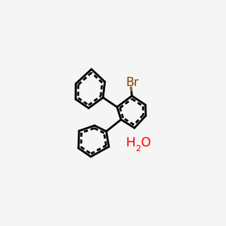 Brc1cccc(-c2ccccc2)c1-c1ccccc1.O